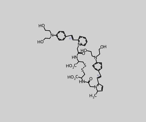 CC1C=CC(/C=C/c2ccc(N(CCO)CCO)cc2)=[N+]1CC(=O)NC(CSSCC(NC(=O)C[n+]1ccccc1/C=C/c1ccc(N(CCO)CCO)cc1)C(=O)O)C(=O)O